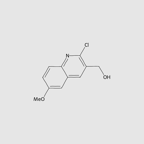 COc1ccc2nc(Cl)c(CO)cc2c1